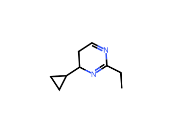 CCC1=NC(C2CC2)CC=N1